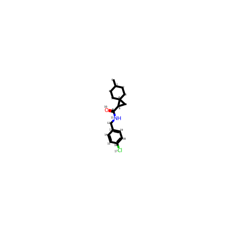 CC1CCC2(CC1)CC2C(=O)NCc1ccc(Cl)cc1